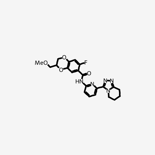 COCC1COc2cc(F)c(C(=O)Nc3cccc(-c4nnc5n4CCCC5)n3)cc2O1